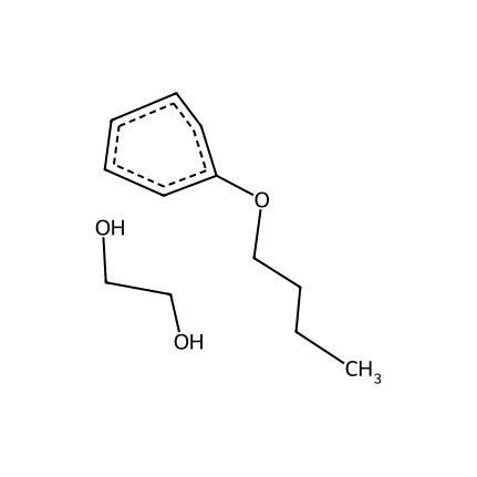 CCCCOc1ccccc1.OCCO